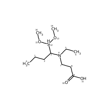 CCCC(N(CC)CCC(=O)O)[SiH](OC)OC